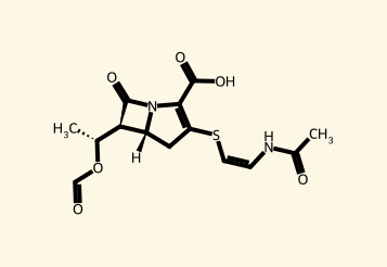 CC(=O)N/C=C\SC1=C(C(=O)O)N2C(=O)[C@H]([C@@H](C)OC=O)[C@H]2C1